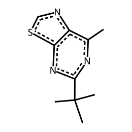 Cc1nc(C(C)(C)C)nc2scnc12